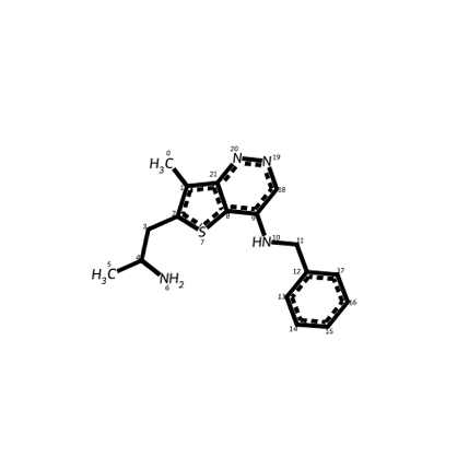 Cc1c(CC(C)N)sc2c(NCc3ccccc3)cnnc12